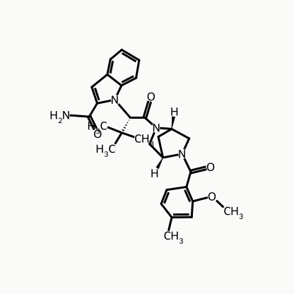 COc1cc(C)ccc1C(=O)N1C[C@@H]2C[C@H]1CN2C(=O)[C@@H](n1c(C(N)=O)cc2ccccc21)C(C)(C)C